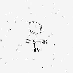 CC(C)S(=N)(=O)c1ccccc1